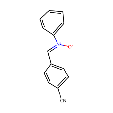 N#Cc1ccc(/C=[N+](\[O-])c2ccccc2)cc1